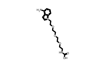 Nc1cccc2c1ccn2CCOCCOCCOCCNC(=O)O